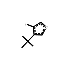 CC(C)(C)c1cocc1F